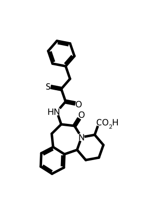 O=C(NC1Cc2ccccc2C2CCCC(C(=O)O)N2C1=O)C(=S)Cc1ccccc1